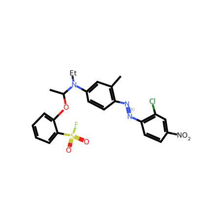 CCN(c1ccc(/N=N/c2ccc([N+](=O)[O-])cc2Cl)c(C)c1)C(C)Oc1ccccc1S(=O)(=O)F